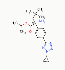 CC(C)OC(=O)[C@@](N)(CC(C)(C)C)c1ccc(-c2nnn(C3CC3)n2)cc1